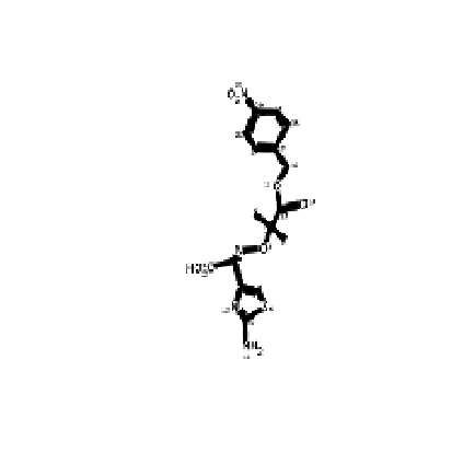 CC(C)(ON=C(C(=O)O)c1csc(N)n1)C(=O)OCc1ccc([N+](=O)[O-])cc1